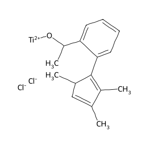 CC1=CC(C)C(c2ccccc2C(C)[O][Ti+2])=C1C.[Cl-].[Cl-]